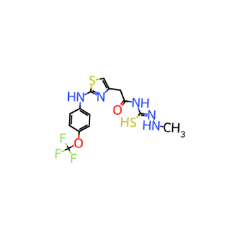 CN/N=C(\S)NC(=O)Cc1csc(Nc2ccc(OC(F)(F)F)cc2)n1